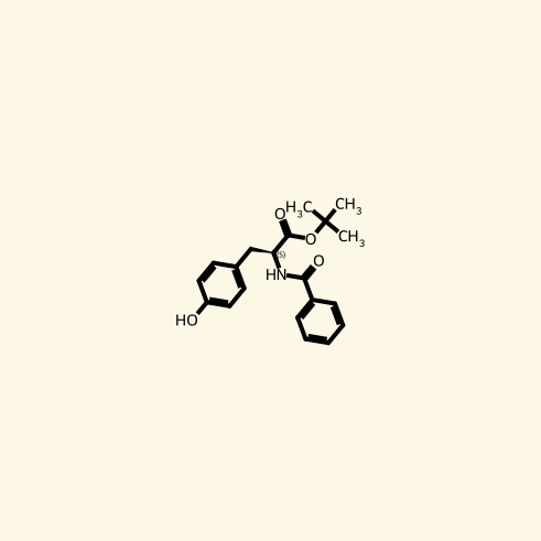 CC(C)(C)OC(=O)[C@H](Cc1ccc(O)cc1)NC(=O)c1ccccc1